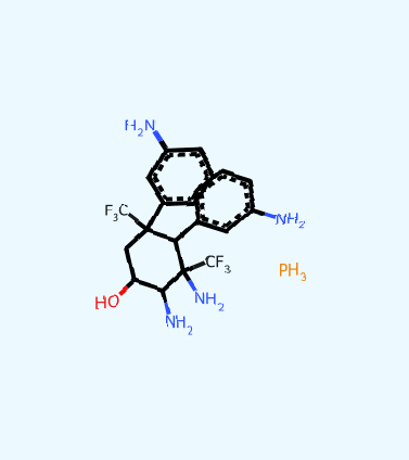 Nc1cccc(C2C(c3cccc(N)c3)(C(F)(F)F)CC(O)C(N)C2(N)C(F)(F)F)c1.P